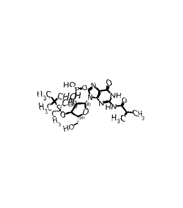 CC(C)C(=O)Nc1nc2c(ncn2[C@@H]2O[C@H](CO)C(O[Si](C)(C)C(C)(C)C)[C@@H]2O[PH](=O)O)c(=O)[nH]1